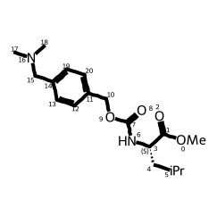 COC(=O)[C@H](CC(C)C)NC(=O)OCc1ccc(CN(C)C)cc1